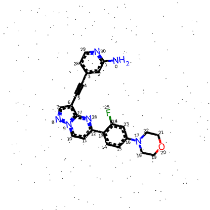 Nc1cc(C#Cc2cnn3ccc(-c4ccc(N5CCOCC5)cc4F)nc23)ccn1